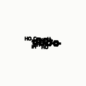 Cc1ccc(C2=CC(O)[C@]3(C)[C@H]4CC[C@@H]5[C@H]6[C@H](C(C)C)CC[C@]6(C(=O)O)CC[C@@]5(C)[C@]4(C)CC[C@H]3C2(C)C)cc1